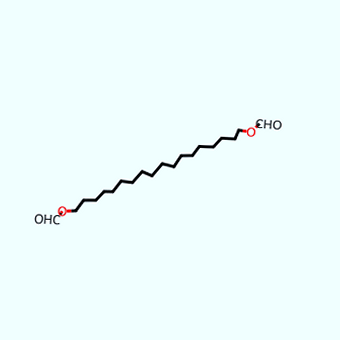 O=COCCCCCCCCCCCCCCCCCCOC=O